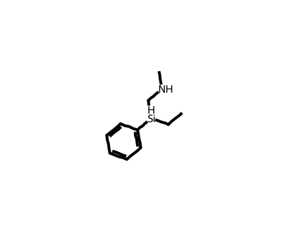 CC[SiH](CNC)c1ccccc1